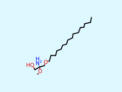 CCCCCCCCCCCCCCCCOC[C@](N)(CO)OC